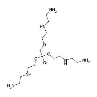 NCCNCCOCC([O])(OCCNCCN)OCCNCCN